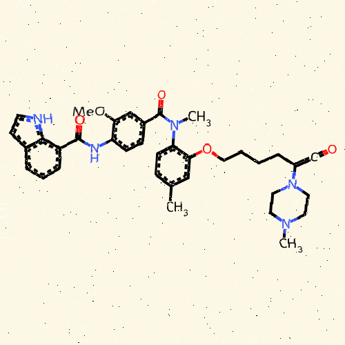 COc1cc(C(=O)N(C)c2ccc(C)cc2OCCCCC(=C=O)N2CCN(C)CC2)ccc1NC(=O)c1cccc2cc[nH]c12